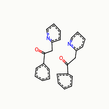 O=C(Cc1ccccn1)c1ccccc1.O=C(Cc1ccccn1)c1ccccc1